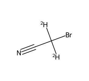 [2H]C([2H])(Br)C#N